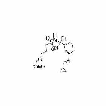 CCC(CC)(NS(=O)(=O)CCCOCOC)c1cccc(OCC2CC2)c1